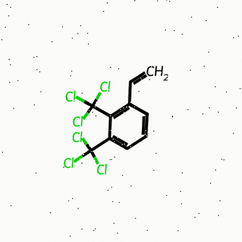 C=Cc1cccc(C(Cl)(Cl)Cl)c1C(Cl)(Cl)Cl